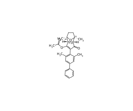 CC(=O)OC1=C(c2c(C)cc(-c3ccccc3)cc2C)C(=O)[C@@H]2[C@H]1[C@@]1(C)CC[C@]2(C)O1